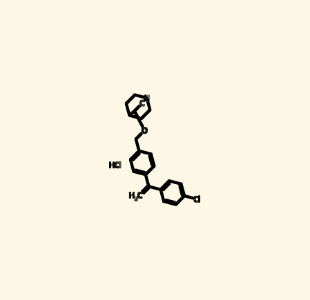 C=C(c1ccc(Cl)cc1)c1ccc(COC2CN3CCC2CC3)cc1.Cl